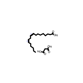 CCCCC/C=C\C/C=C\CCCCCCCC(=O)O.O=C(O)CC(=O)O